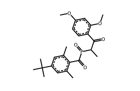 COc1ccc(C(=O)C(C)[P](=O)C(=O)c2c(C)cc(C(C)(C)C)cc2C)c(OC)c1